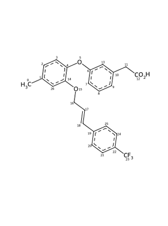 Cc1ccc(Oc2cccc(CC(=O)O)c2)c(OCC=Cc2ccc(C(F)(F)F)cc2)c1